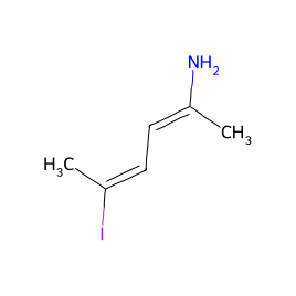 C/C(N)=C\C=C(/C)I